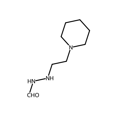 O=CNNCCN1CCCCC1